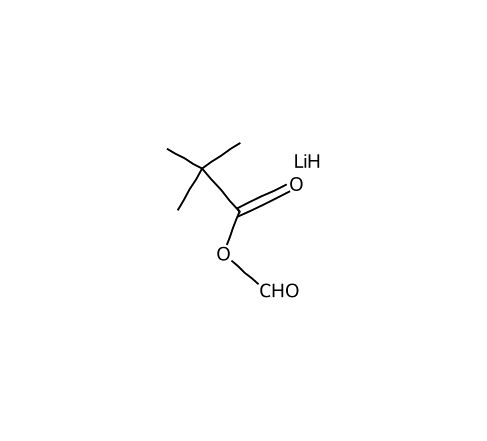 CC(C)(C)C(=O)OC=O.[LiH]